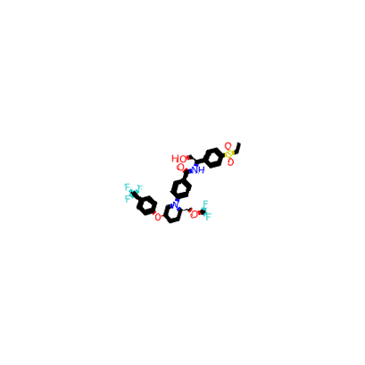 CCS(=O)(=O)c1ccc([C@H](CO)NC(=O)c2ccc(N3C[C@@H](Oc4ccc(C(F)(F)F)cc4)CC[C@H]3COC(F)F)cc2)cc1